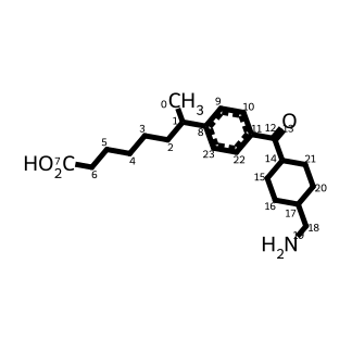 CC(CCCCCC(=O)O)c1ccc(C(=O)C2CCC(CN)CC2)cc1